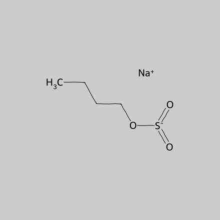 CCCCO[S-](=O)=O.[Na+]